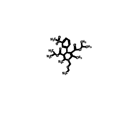 CCOCN1C(C)=C(C(=O)OC(C)C)C(c2cccc(S(C)(=O)=O)c2)C(C(=O)OC(C)C)=C1C